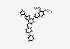 COc1ccc(CNc2ncc(CN3CCN(c4ccccc4)CC3)c3nc(-c4cccs4)nn23)cc1OC